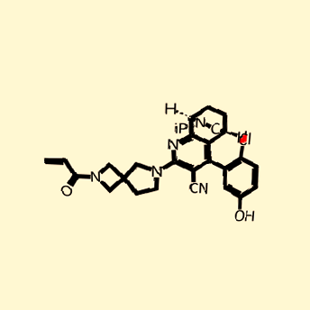 C=CC(=O)N1CC2(CCN(c3nc4c(c(-c5cc(O)ccc5Cl)c3C#N)[C@H]3CC[C@H]4N(C(C)C)C3)C2)C1